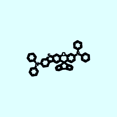 c1ccc(N(c2ccccc2)c2ccc3c(c2)Oc2cc4sc5cc(N(c6ccccc6)c6ccccc6)ccc5c4cc2C32c3ccccc3-c3ccccc32)cc1